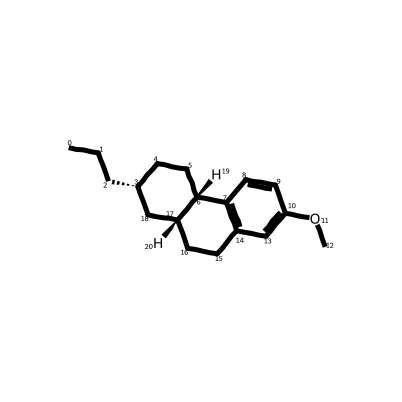 CCC[C@@H]1CC[C@@H]2c3ccc(OC)cc3CC[C@@H]2C1